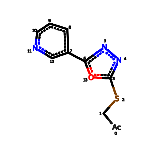 CC(=O)CSc1nnc(-c2cccnc2)o1